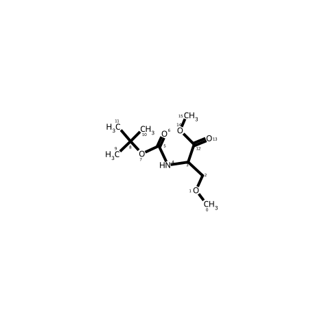 COCC(NC(=O)OC(C)(C)C)C(=O)OC